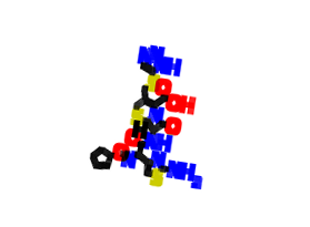 Nc1nc(/C(=N/OC2C=CCC2)C(=O)NC2C(=O)N3C(C(=O)O)=C(CSc4cnn[nH]4)CS[C@@H]23)cs1